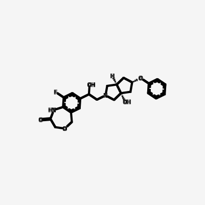 O=C1COCc2cc(C(O)CN3C[C@H]4C[C@H](Oc5ccccc5)C[C@@]4(O)C3)cc(F)c2N1